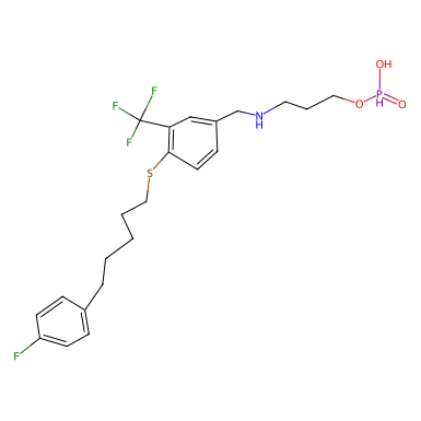 O=[PH](O)OCCCNCc1ccc(SCCCCCc2ccc(F)cc2)c(C(F)(F)F)c1